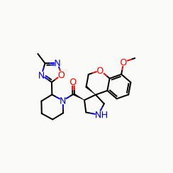 COc1cccc2c1OCC[C@]21CNC[C@H]1C(=O)N1CCCCC1c1nc(C)no1